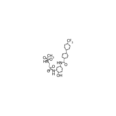 CS(=O)(=O)NCCS(=O)(=O)Nc1cc(NC(=O)c2ccc(-c3ccc(C(F)(F)F)cc3)cc2)ccc1O